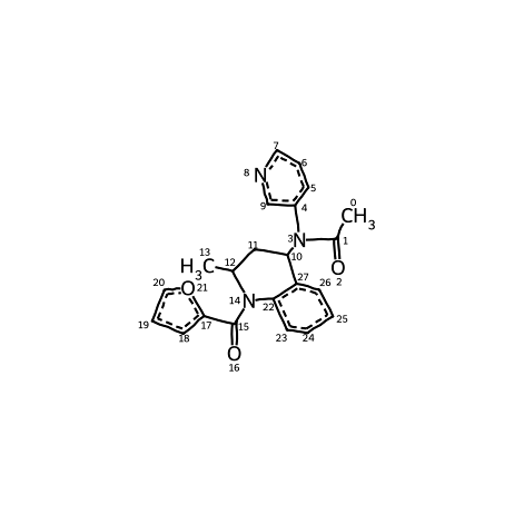 CC(=O)N(c1cccnc1)C1CC(C)N(C(=O)c2ccco2)c2ccccc21